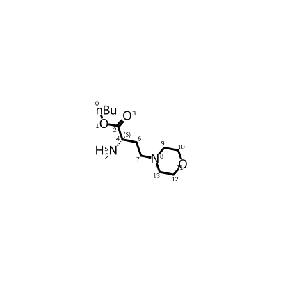 CCCCOC(=O)[C@@H](N)CCN1CCOCC1